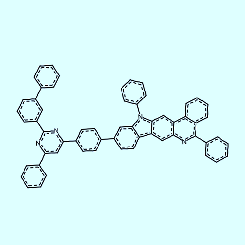 c1ccc(-c2cccc(-c3nc(-c4ccccc4)cc(-c4ccc(-c5ccc6c7cc8nc(-c9ccccc9)c9ccccc9c8cc7n(-c7ccccc7)c6c5)cc4)n3)c2)cc1